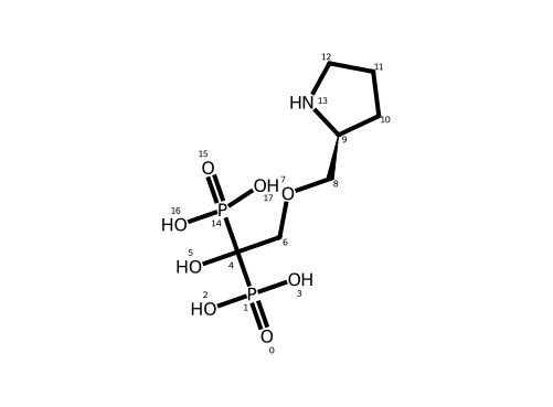 O=P(O)(O)C(O)(COC[C@@H]1CCCN1)P(=O)(O)O